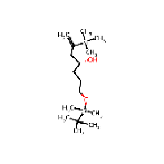 C=C(C[C@H](O)CCCO[Si](C)(C)C(C)(C)C)[Si](C)(C)C